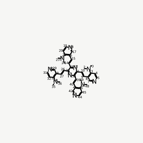 CN(C)c1ccncc1C=Cc1nc(C=Cc2cnccc2N(C)C)c(C=Cc2cnccc2N(C)C)nc1C=Cc1cnccc1N(C)C